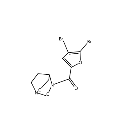 O=C(c1cc(Br)c(Br)o1)N1CCN2CCC1CC2